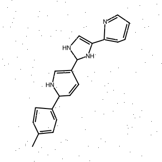 Cc1ccc(C2C=CC(C3NC=C(c4ccccn4)N3)=CN2)cc1